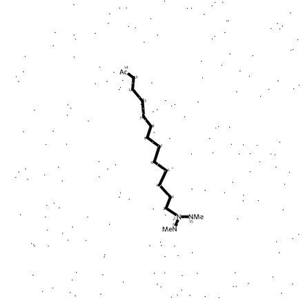 CNN(CCCCCCCCCCCCC(C)=O)NC